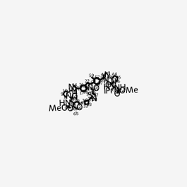 COC(=O)NC(C(=O)N1CCC[C@H]1c1ncc(-c2ccc3c(c2)cc2n3C(c3cnc(C4CCC4)s3)Oc3cc(-c4cnc([C@@H]5CCCN5C(=O)[C@@H](NC(=O)OC)C(C)C)[nH]4)cc(C)c3-2)[nH]1)C1C[C@@H](C)O[C@@H](C)C1